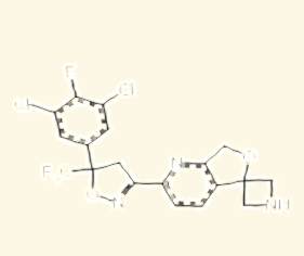 Fc1c(Cl)cc(C2(C(F)(F)F)CC(c3ccc4c(n3)COC43CNC3)=NO2)cc1Cl